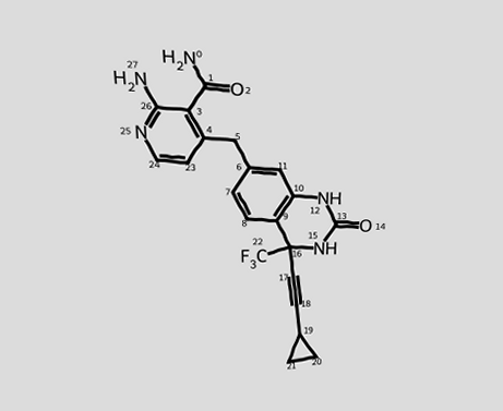 NC(=O)c1c(Cc2ccc3c(c2)NC(=O)NC3(C#CC2CC2)C(F)(F)F)ccnc1N